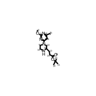 COc1nc(I)cc(N2CCNC(CCC(=O)OC(C)(C)C)C2)n1